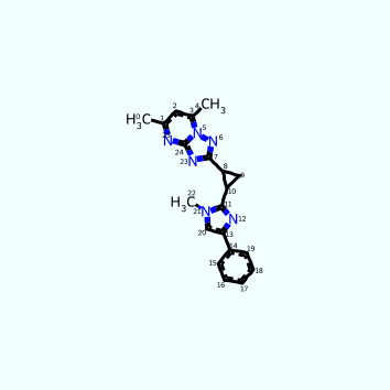 Cc1cc(C)n2nc(C3CC3c3nc(-c4ccccc4)cn3C)nc2n1